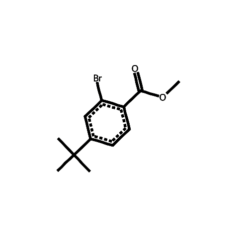 COC(=O)c1ccc(C(C)(C)C)cc1Br